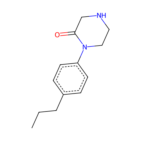 CCCc1ccc(N2CCNCC2=O)cc1